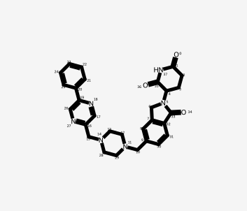 O=C1CCC(N2Cc3cc(CN4CCN(Cc5cnc(-c6ccccc6)cn5)CC4)ccc3C2=O)C(=O)N1